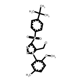 COc1ccc(C)cc1-n1nnc(S(=O)(=O)c2ccc(C(C)(C)C)cc2)c1CCl